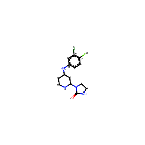 O=C1NCCN1C1CC(Nc2ccc(F)c(Cl)c2)CC[N]1